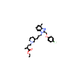 CCOC(=O)C(C)CCN1CCCC(CCCn2c(COc3ccc(Cl)cc3)nc3c(C)cccc32)C1